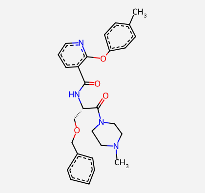 Cc1ccc(Oc2ncccc2C(=O)N[C@@H](COCc2ccccc2)C(=O)N2CCN(C)CC2)cc1